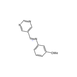 COc1cccc(/N=C/c2cncnc2)c1